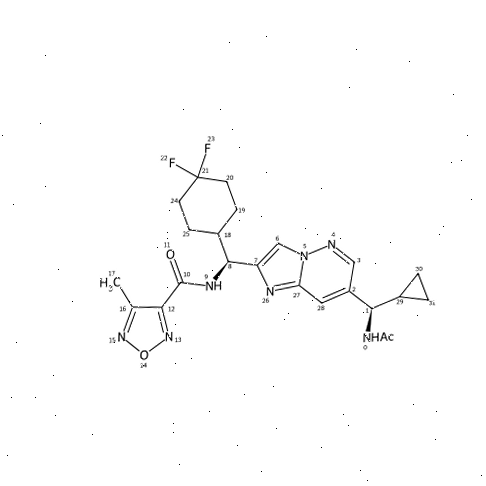 CC(=O)N[C@@H](c1cnn2cc([C@@H](NC(=O)c3nonc3C)C3CCC(F)(F)CC3)nc2c1)C1CC1